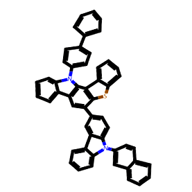 c1ccc(-c2ccc(-n3c4ccccc4c4cc(-c5ccc6c(c5)c5ccccc5n6-c5ccc6ccccc6c5)c5sc6ccccc6c5c43)cc2)cc1